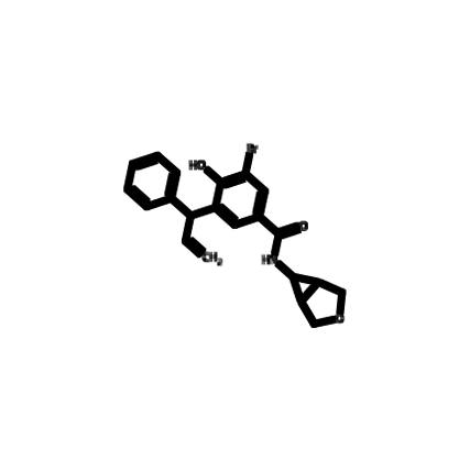 C=CC(c1ccccc1)c1cc(C(=O)NC2C3COCC32)cc(Br)c1O